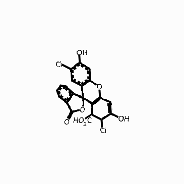 O=C1OC2(C3=C(C=C(O)C(Cl)C3C(=O)O)Oc3cc(O)c(Cl)cc32)c2ccccc21